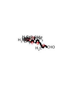 C=C1CC(CCC=O)OC1CCC1C[C@@H](C)CC(C[C@@H]2OC(C[C@@H](CO[Si](C)(C)C(C)(C)C)O[Si](C)(C)C(C)(C)C)[C@H](OC)[C@H]2CC(=O)OC)O1